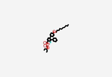 CCCCCCCCCCOc1ccc(-c2ccc(C(=O)OC(=O)OC(CC)CC)c(F)c2-c2ccccc2)cc1